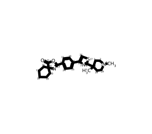 CN1CCC(C)(c2nc(-c3ccc(C4=NC5(CCCCC5)C(=O)O4)cc3)cs2)CC1